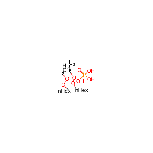 C=COOCCCCCC.C=COOCCCCCC.O=P(O)(O)O